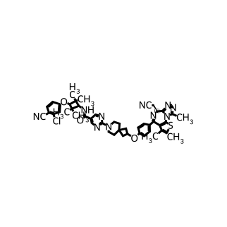 Cc1sc2c(c1C)C(c1ccc(OC3CC4(CCN(c5ncc(C(=O)NC6C(C)(C)C(Oc7ccc(C#N)c(Cl)c7)C6(C)C)cn5)CC4)C3)cc1)=N[C@@H](CC#N)c1nnc(C)n1-2